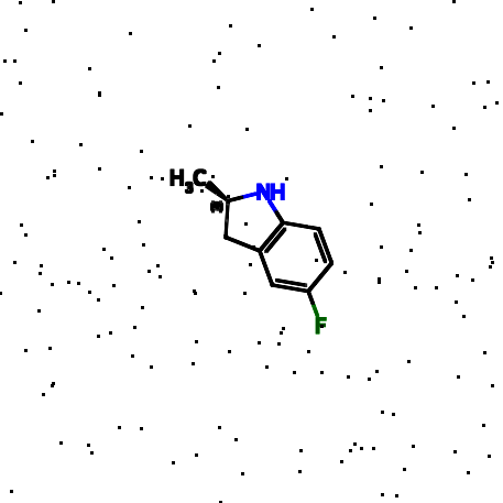 C[C@@H]1Cc2cc(F)ccc2N1